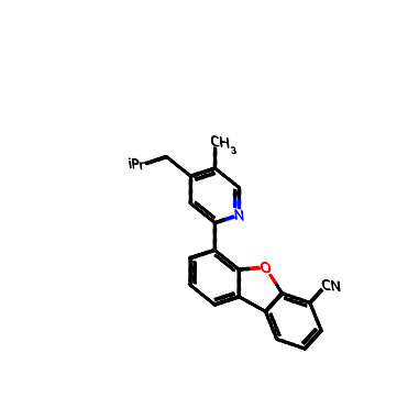 Cc1cnc(-c2cccc3c2oc2c(C#N)cccc23)cc1CC(C)C